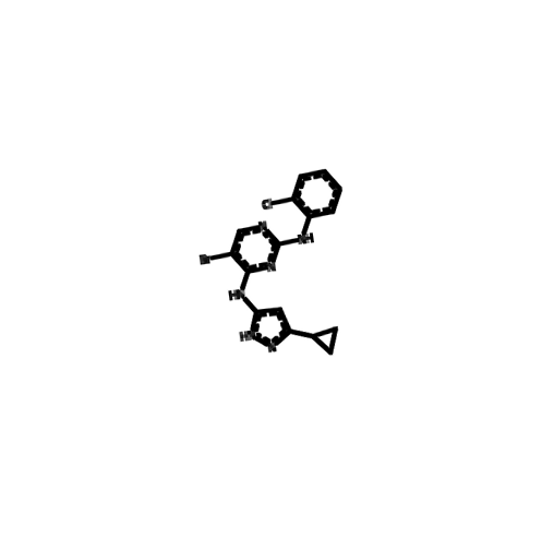 Clc1ccccc1Nc1ncc(Br)c(Nc2cc(C3CC3)n[nH]2)n1